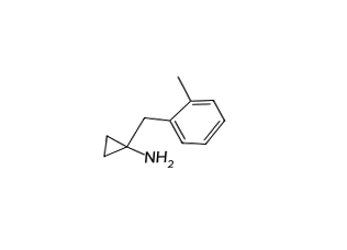 Cc1ccccc1CC1(N)CC1